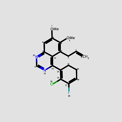 C=CCc1c(OC)c(OC)cc2ncnc(C3=C(Cl)C(F)=CC[CH]3)c12